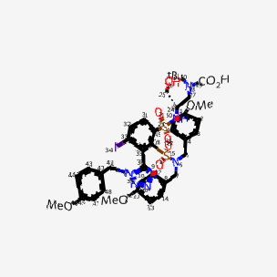 COc1ccc(CN(Cc2ccc(OC)cc2)S(=O)(=O)c2c(S(=O)(=O)N[C@H](CO)CN(C(=O)O)C(C)(C)C)ccc(I)c2-c2nnnn2Cc2ccc(OC)cc2)cc1